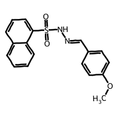 COc1ccc(C=NNS(=O)(=O)c2cccc3ccccc23)cc1